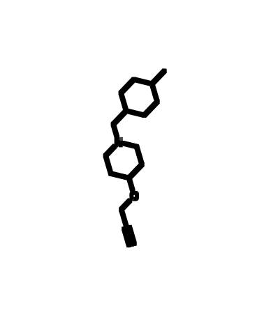 C#CCOC1CCN(CC2CCC(C)CC2)CC1